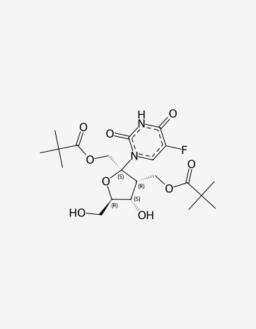 CC(C)(C)C(=O)OC[C@@H]1[C@H](O)[C@@H](CO)O[C@@]1(COC(=O)C(C)(C)C)n1cc(F)c(=O)[nH]c1=O